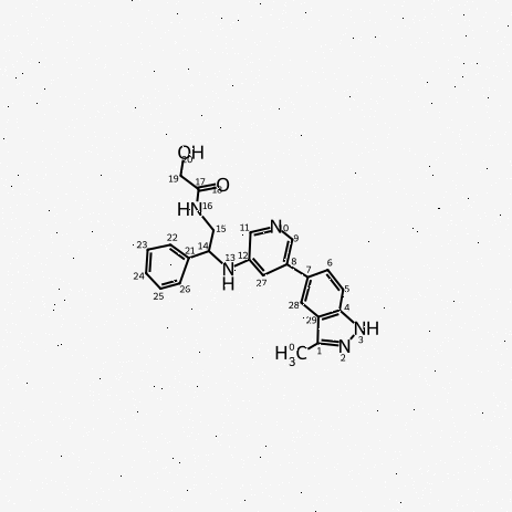 Cc1n[nH]c2ccc(-c3cncc(NC(CNC(=O)CO)c4ccccc4)c3)cc12